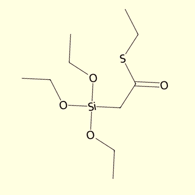 CCO[Si](CC(=O)SCC)(OCC)OCC